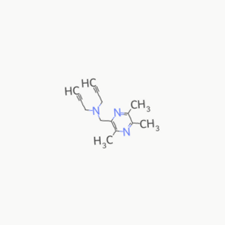 C#CCN(CC#C)Cc1nc(C)c(C)nc1C